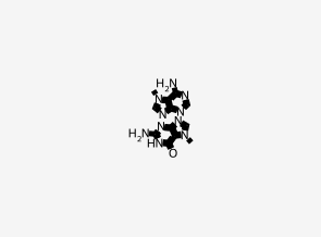 Cn1cnc2nc(N)[nH]c(=O)c21.Cn1cnc2ncnc(N)c21